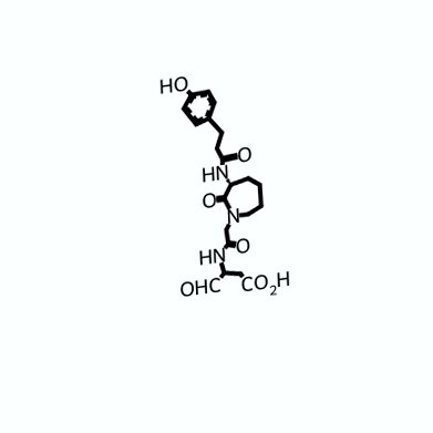 O=CC(CC(=O)O)NC(=O)CN1CCCC[C@H](NC(=O)CCc2ccc(O)cc2)C1=O